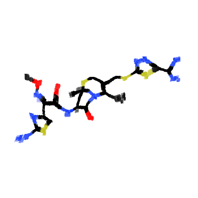 CCO/N=C(\C(=O)N[C@@H]1C(=O)N2C(C(=O)O)=C(CSc3nnc(C(=N)N)s3)CS[C@@H]12)c1csc(N)n1